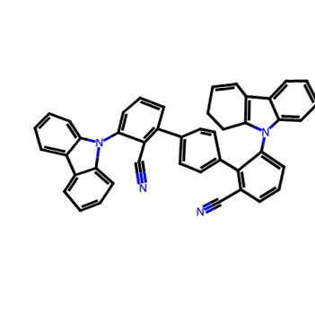 N#Cc1cccc(-n2c3c(c4ccccc42)C=CCC3)c1-c1ccc(-c2cccc(-n3c4ccccc4c4ccccc43)c2C#N)cc1